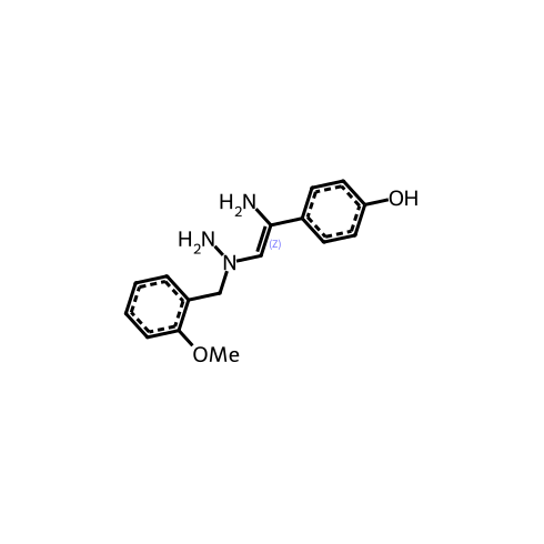 COc1ccccc1CN(N)/C=C(\N)c1ccc(O)cc1